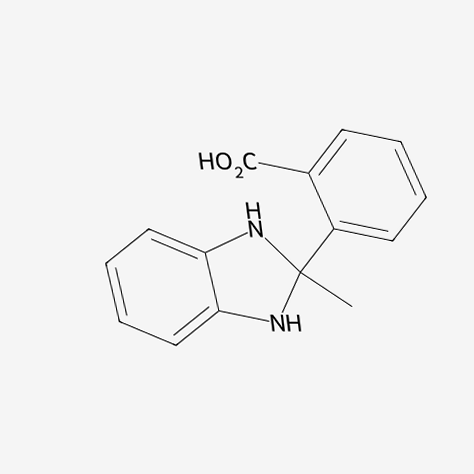 CC1(c2ccccc2C(=O)O)Nc2ccccc2N1